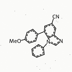 COc1ccc(-c2cc(C#N)cc3ncn(-c4ccccc4)c23)cc1